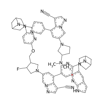 CN(C)C1CCN(c2cc(-c3ccc(N4CC5CC(C4)N5Cc4ccc(OCC5CN(c6cc(-c7ccc(N8CC9CC(C8)N9Cc8cnc9[nH]ccc9c8)nc7)c7c(C#N)cnn7c6)CC5F)nc4)nc3)c3c(C#N)cnn3c2)C1